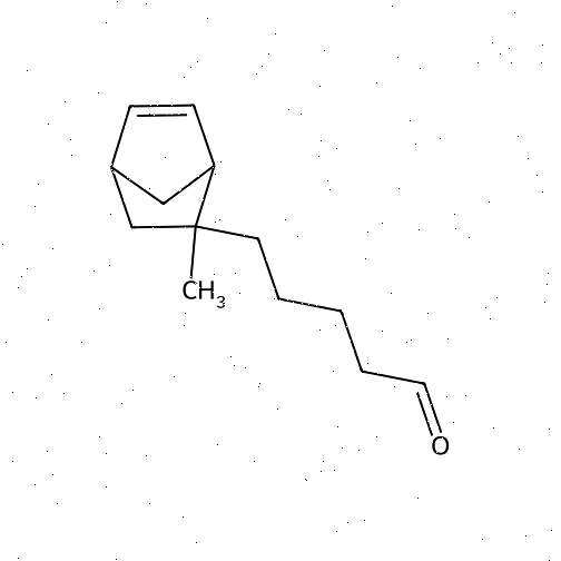 CC1(CCCCC=O)CC2C=CC1C2